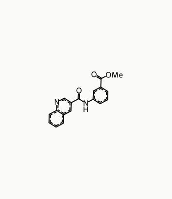 COC(=O)c1cccc(NC(=O)c2cnc3ccccc3c2)c1